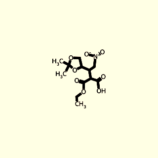 CCOC(=O)C(C(=O)O)C(C[N+](=O)[O-])C1COC(C)(C)O1